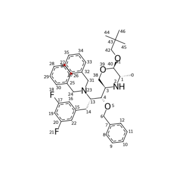 C[C@@H]1N[C@@H]([C@H](OCc2ccccc2)[C@H](Cc2cc(F)cc(F)c2)N(Cc2ccccc2)Cc2ccccc2)CO[C@H]1OCC(C)(C)C